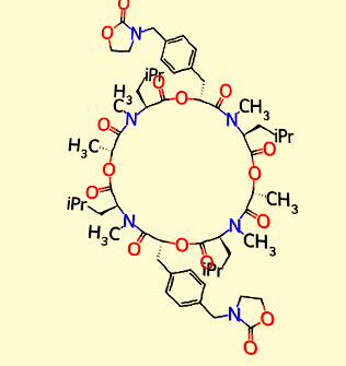 CC(C)C[C@H]1C(=O)O[C@H](Cc2ccc(CN3CCOC3=O)cc2)C(=O)N(C)[C@@H](CC(C)C)C(=O)O[C@H](C)C(=O)N(C)[C@@H](CC(C)C)C(=O)O[C@H](Cc2ccc(CN3CCOC3=O)cc2)C(=O)N(C)[C@@H](CC(C)C)C(=O)O[C@H](C)C(=O)N1C